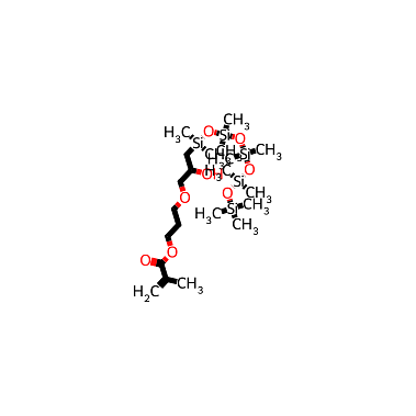 C=C(C)C(=O)OCCCOCC(O)C[Si](C)(C)O[Si](C)(C)O[Si](C)(C)O[Si](C)(C)O[Si](C)(C)C